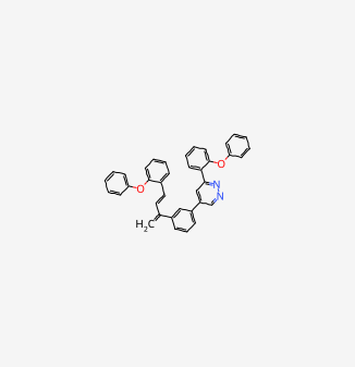 C=C(/C=C/c1ccccc1Oc1ccccc1)c1cccc(-c2cnnc(-c3ccccc3Oc3ccccc3)c2)c1